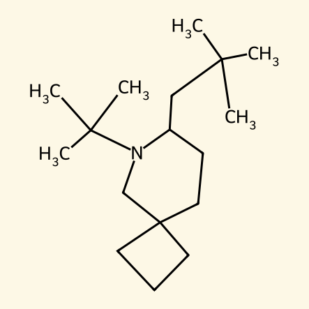 CC(C)(C)CC1CCC2(CCC2)CN1C(C)(C)C